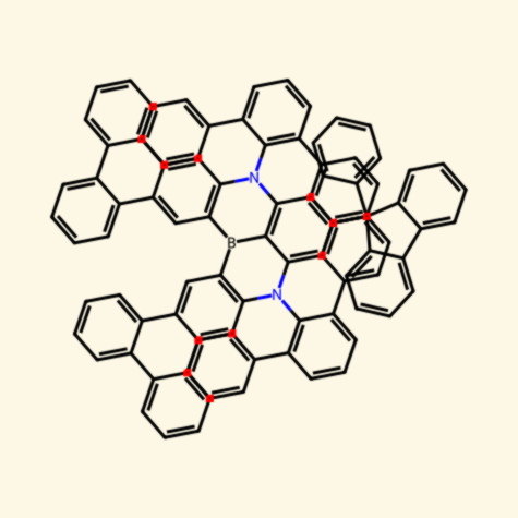 c1ccc(-c2cccc(-c3ccccc3)c2N2c3cc4c5ccccc5c5ccccc5c4cc3B3c4cc5c6ccccc6c6ccccc6c5cc4N(c4c(-c5ccccc5)cccc4-c4ccccc4)c4cc(C5(c6ccccc6)c6ccccc6-c6ccccc65)cc2c43)cc1